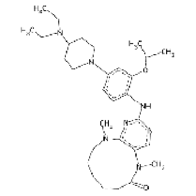 CCN(CC)C1CCN(c2ccc(Nc3ncc4c(n3)N(C)CCCCCC(=O)N4C)c(OC(C)C)c2)CC1